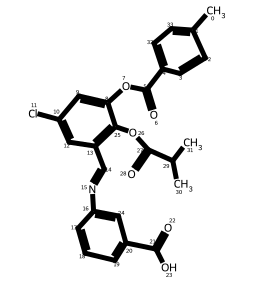 Cc1ccc(C(=O)Oc2cc(Cl)cc(C=Nc3cccc(C(=O)O)c3)c2OC(=O)C(C)C)cc1